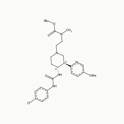 COc1ccc([C@@H]2CN(CCN(C)C(=O)OC(C)(C)C)CC[C@H]2NC(=O)Nc2ccc(Cl)cc2)nc1